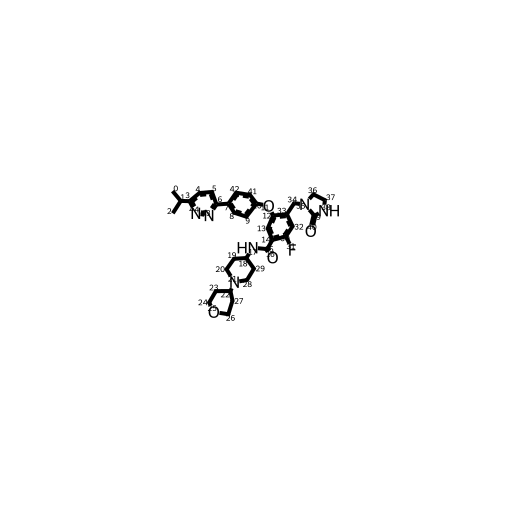 CC(C)c1ccc(-c2ccc(Oc3cc(C(=O)NC4CCN(C5CCOCC5)CC4)c(F)cc3CN3CCNC3=O)cc2)nn1